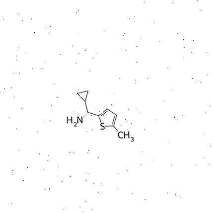 Cc1ccc([C@H](N)C2CC2)s1